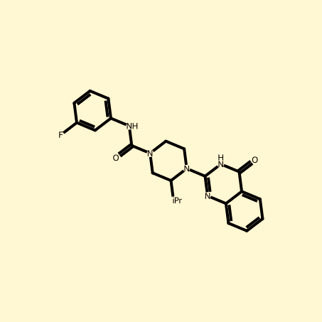 CC(C)C1CN(C(=O)Nc2cccc(F)c2)CCN1c1nc2ccccc2c(=O)[nH]1